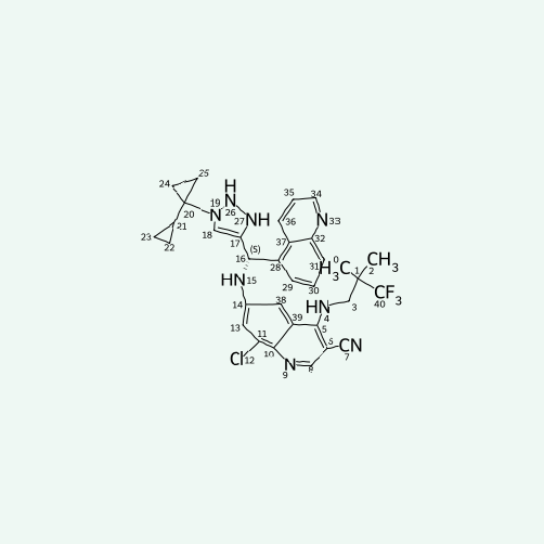 CC(C)(CNc1c(C#N)cnc2c(Cl)cc(N[C@H](C3=CN(C4(C5CC5)CC4)NN3)c3cccc4ncccc34)cc12)C(F)(F)F